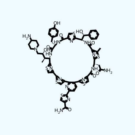 Cc1sc2nc1C(=O)N[C@@H]([C@H](O)c1ccccc1)c1nc(cs1)C(=O)N[C@@H](Cc1ccc(O)cc1)C(=O)N[C@@H]([C@@H](C)[C@@H](O)CN1CCC(N)CC1)c1nc(cs1)-c1nc(cs1)-c1nc(-c3nc(C(N)=O)cs3)ccc1-c1nc(cs1)C(=O)N[C@H]2CC(N)=O